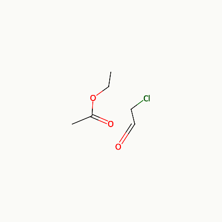 CCOC(C)=O.O=CCCl